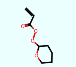 C=CC(=O)OOC1CCCCO1